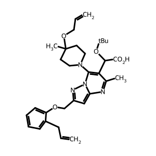 C=CCOC1(C)CCN(c2c(C(OC(C)(C)C)C(=O)O)c(C)nc3cc(COc4ccccc4CC=C)nn23)CC1